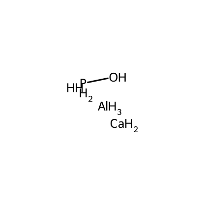 OP.[AlH3].[CaH2].[HH]